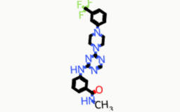 CNC(=O)c1cccc(Nc2ncnc(N3CCN(c4cccc(C(F)(F)F)c4)CC3)n2)c1